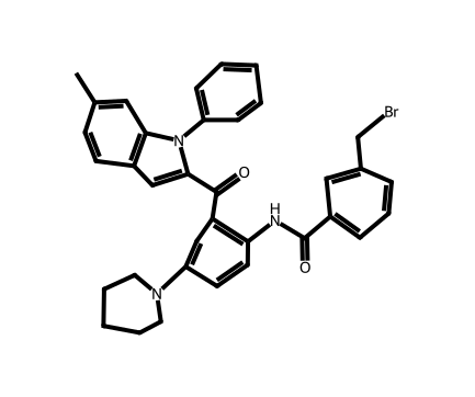 Cc1ccc2cc(C(=O)c3cc(N4CCCCC4)ccc3NC(=O)c3cccc(CBr)c3)n(-c3ccccc3)c2c1